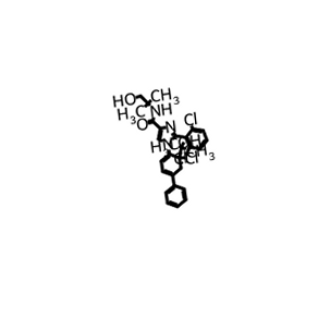 CC(C)(CO)NC(=O)c1cn(C2=CC=C(c3ccccc3)CC2(Cl)C(C)(C)O)c(-c2c(Cl)cccc2Cl)n1